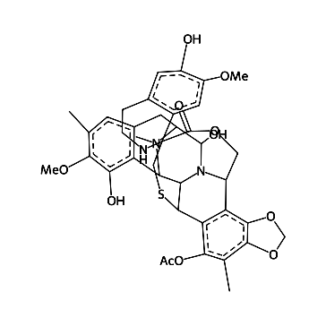 COc1cc2c(cc1O)CCNC21CSC2c3c(OC(C)=O)c(C)c4c(c3C(COC1=O)N1C(O)C3Cc5cc(C)c(OC)c(O)c5C(C21)N3C)OCO4